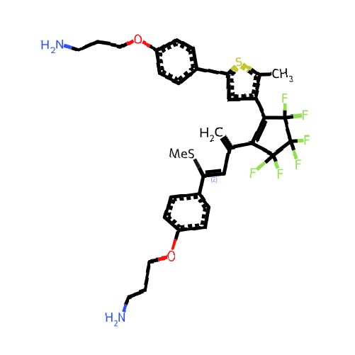 C=C(/C=C(\SC)c1ccc(OCCCN)cc1)C1=C(c2cc(-c3ccc(OCCCN)cc3)sc2C)C(F)(F)C(F)(F)C1(F)F